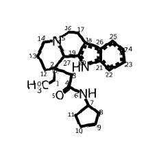 CC[C@@]1(CC(=O)NC2CCCC2)CCCN2CCc3c([nH]c4ccccc34)C21